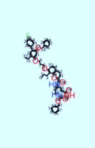 CCCc1c(OCCCOc2cc(OCc3ccccc3)c(-c3ccc(F)cc3)cc2CC)ccc2c1OC(C(=O)NC(CC)CC(NC(=O)OCc1ccccc1)C(=O)O)CC2